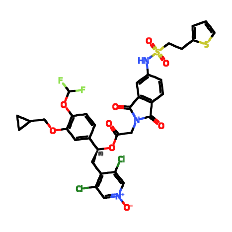 O=C(CN1C(=O)c2ccc(NS(=O)(=O)CCc3cccs3)cc2C1=O)O[C@@H](Cc1c(Cl)c[n+]([O-])cc1Cl)c1ccc(OC(F)F)c(OCC2CC2)c1